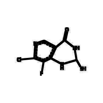 O=C1NC(S)Nc2c1cnc(Cl)c2F